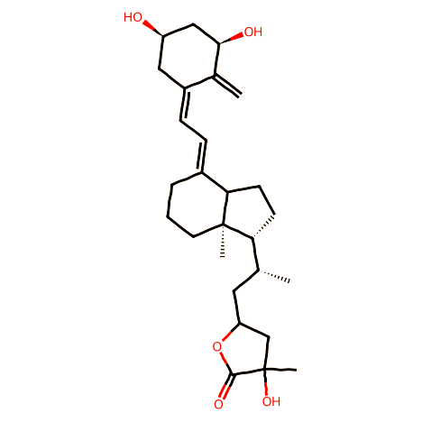 C=C1/C(=C\C=C2CCC[C@@]3(C)C2CC[C@@H]3[C@H](C)CC2CC(C)(O)C(=O)O2)C[C@@H](O)C[C@H]1O